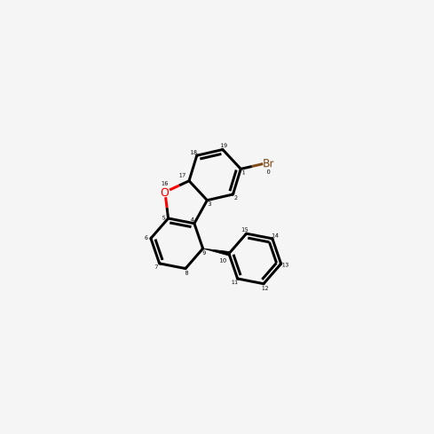 BrC1=CC2C3=C(C=CC[C@@H]3C3=CC=C=C=C3)OC2C=C1